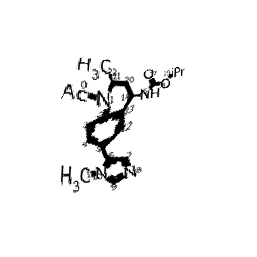 CC(=O)N1c2ccc(-c3cncn3C)cc2[C@H](NC(=O)OC(C)C)C[C@@H]1C